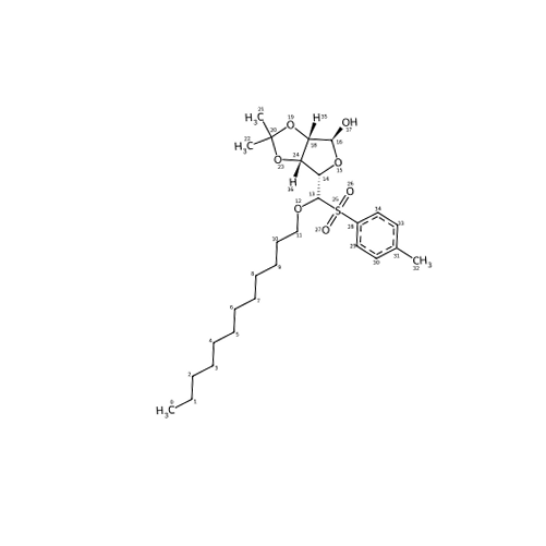 CCCCCCCCCCCCOC([C@H]1O[C@H](O)[C@H]2OC(C)(C)O[C@H]21)S(=O)(=O)c1ccc(C)cc1